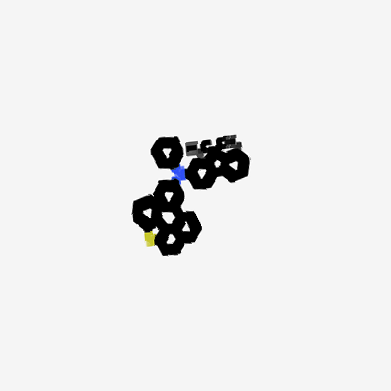 CC1(C)c2ccccc2-c2ccc(N(c3ccccc3)c3cccc(-c4cccc5ccc6sc7ccccc7c6c45)c3)cc21